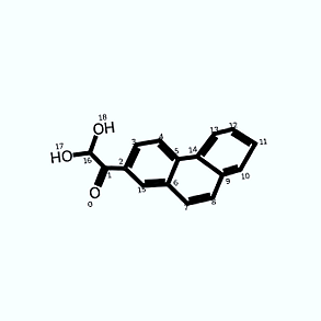 O=C(c1ccc2c(ccc3ccccc32)c1)C(O)O